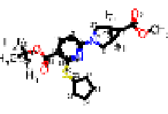 COC(=O)C1[C@H]2CN(c3ccc(C(=O)OC(C)(C)C)c(SC4CCCC4)n3)C[C@@H]12